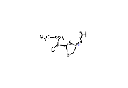 CNC(=O)C1SC/C(=N/O)S1